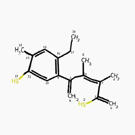 C=C(S)/C(C)=C(/C)C(=C)c1cc(S)c(C)cc1CC